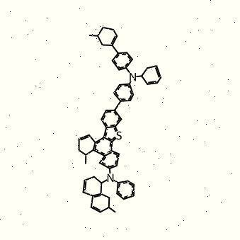 CC1C=CC2=C(C1)C(N(c1ccccc1)c1ccc3c(c1)c1c(c4c5ccc(-c6ccc(N(c7ccc(C8=CCCC(C)C8)cc7)C7C=CC=CC7)cc6)cc5sc34)C=CCC1C)CC=C2